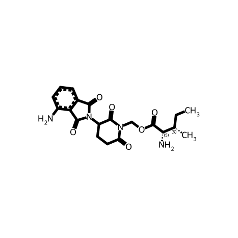 CC[C@H](C)[C@H](N)C(=O)OCN1C(=O)CCC(N2C(=O)c3cccc(N)c3C2=O)C1=O